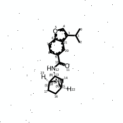 CC(C)c1coc2ccc(C(=O)N[C@@H]3C[C@H]4CC[C@@H]3N4)cc12